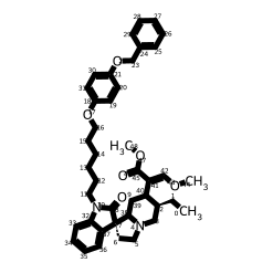 CC[C@H]1CN2CC[C@]3(C(=O)N(CCCCCCOc4ccc(OCc5ccccc5)cc4)c4ccccc43)C2CC1/C(=C\OC)C(=O)OC